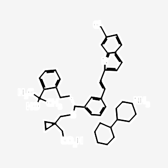 C1CCC(C2CCCCC2)CC1.CC(C)(O)c1ccccc1CC[C@@H](SCC1(CC(=O)O)CC1)c1cccc(/C=C/c2ccc3ccc(Cl)cc3n2)c1.N